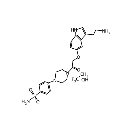 CC(F)(F)F.Cl.NCCc1c[nH]c2ccc(OCC(=O)N3CCN(c4ccc(S(N)(=O)=O)cc4)CC3)cc12